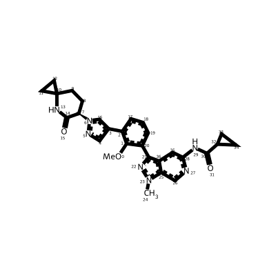 COc1c(-c2cnn([C@@H]3CCC4(CC4)NC3=O)c2)cccc1-c1nn(C)c2cnc(NC(=O)C3CC3)cc12